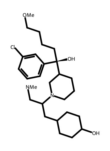 CNCC(CC1CCC(O)CC1)N1CCCC([C@@](O)(CCCCOC)c2cccc(Cl)c2)C1